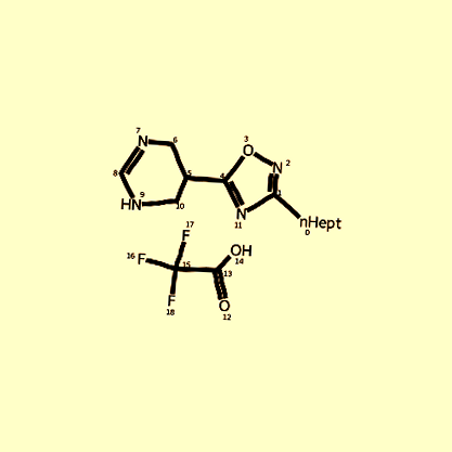 CCCCCCCc1noc(C2CN=CNC2)n1.O=C(O)C(F)(F)F